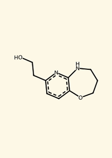 OCCc1ccc2c(n1)NCCCO2